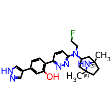 C[C@]12CC[C@](C)(CC(N(CCF)c3ccc(-c4ccc(-c5cn[nH]c5)cc4O)nn3)C1)N2